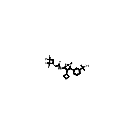 Cn1nc(NC(=O)C[C@@H]2CC(F)(F)C2(F)F)c(C2CCC2)c1-c1cccc(C(C)(C)O)c1